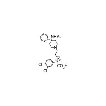 CC(=O)NC1(c2ccccc2)CCN(CC[C@H]2C[C@@]2(C(=O)O)c2ccc(Cl)c(Cl)c2)CC1